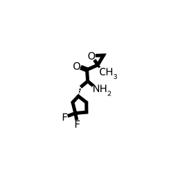 C[C@]1(C(=O)C(N)C[C@@H]2CCC(F)(F)C2)CO1